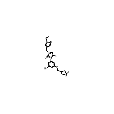 CCn1cc(Cn2cc(C)n(-c3cc(Br)cc(OCC4CC(F)(F)C4)c3)c2=O)cn1